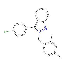 Cc1ccc(Cn2nc3ccccc3c2-c2ccc(F)cc2)c(C)c1